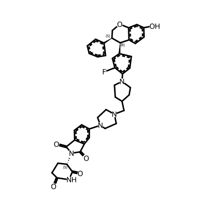 O=C1CC[C@H](N2C(=O)c3ccc(N4CCN(CC5CCN(c6ccc([C@@H]7c8ccc(O)cc8OC[C@@H]7c7ccccc7)cc6F)CC5)CC4)cc3C2=O)C(=O)N1